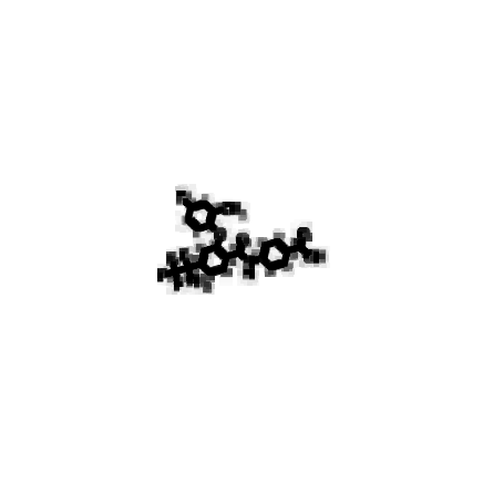 Cc1cc(F)ccc1Oc1cc(C(F)(P)C(F)(F)F)ccc1C(=O)Nc1ccc(C(=O)O)cc1